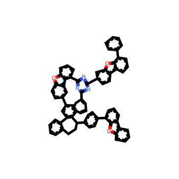 C1=CCCC(c2nc(-c3ccc4c(c3)oc3c(-c5ccccc5)cccc34)nc(-c3cccc4oc5ccc(-c6ccc7c(c6)-c6ccccc6CCC7c6ccc(-c7cccc8c7oc7ccccc78)cc6)cc5c34)n2)=C1